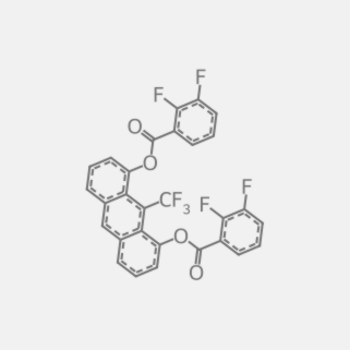 O=C(Oc1cccc2cc3cccc(OC(=O)c4cccc(F)c4F)c3c(C(F)(F)F)c12)c1cccc(F)c1F